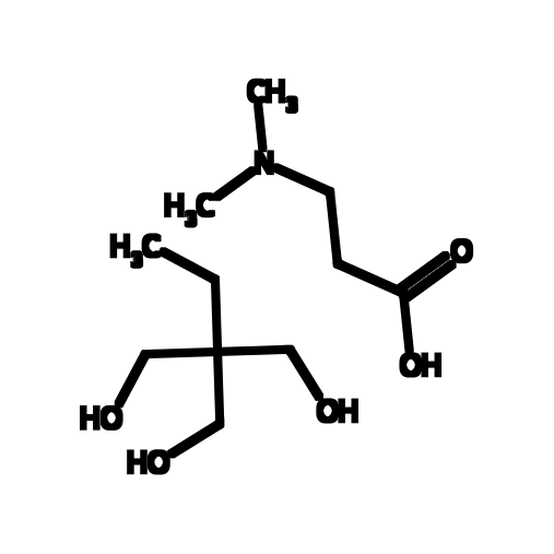 CCC(CO)(CO)CO.CN(C)CCC(=O)O